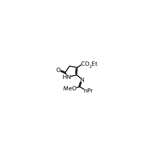 CCCC(=NC1=C(C(=O)OCC)CC(=O)N1)OC